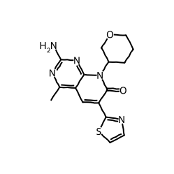 Cc1nc(N)nc2c1cc(-c1nccs1)c(=O)n2C1CCCOC1